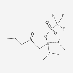 CCCC(=O)CS(OS(=O)(=O)C(F)(F)F)(C(C)C)C(C)C